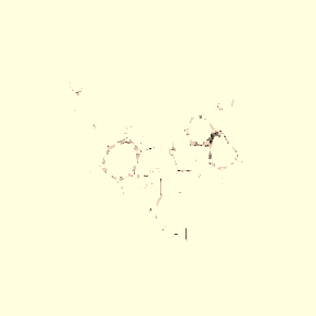 O/N=C1\C[C@@H](c2ccccc2)[C@]2(c3ccc(Cl)cc3)Oc3cc(OCCCl)ccc3[C@]12O